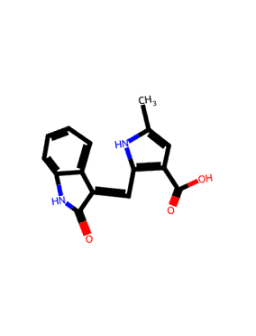 Cc1cc(C(=O)O)c(C=C2C(=O)Nc3ccccc32)[nH]1